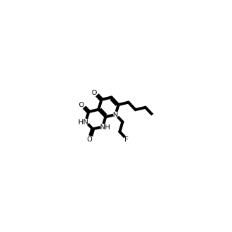 CCCCc1cc(=O)c2c(=O)[nH]c(=O)[nH]c2n1CCF